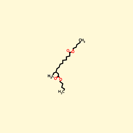 CCCCCOC(=O)CCCCCCCCC(CC)CC(=O)OCCCCC